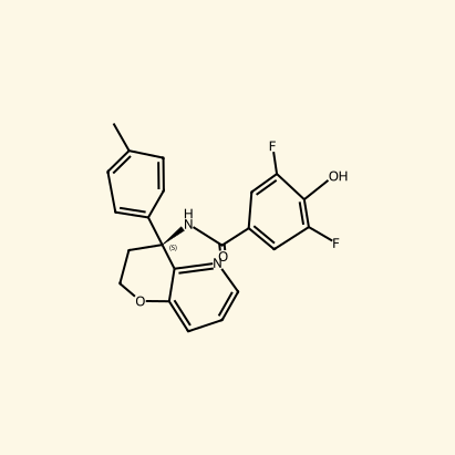 Cc1ccc([C@@]2(NC(=O)c3cc(F)c(O)c(F)c3)CCOc3cccnc32)cc1